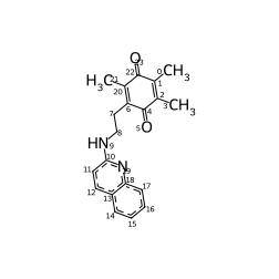 CC1=C(C)C(=O)C(CCNc2ccc3ccccc3n2)=C(C)C1=O